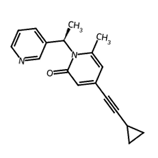 Cc1cc(C#CC2CC2)cc(=O)n1[C@H](C)c1cccnc1